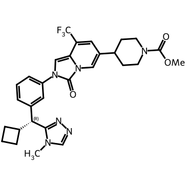 COC(=O)N1CCC(c2cc(C(F)(F)F)c3cn(-c4cccc([C@H](c5nncn5C)C5CCC5)c4)c(=O)n3c2)CC1